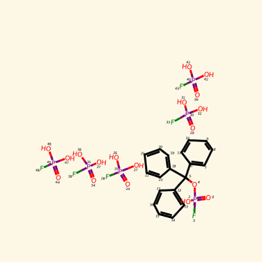 O=P(O)(F)OC(c1ccccc1)(c1ccccc1)c1ccccc1.O=P(O)(O)F.O=P(O)(O)F.O=P(O)(O)F.O=P(O)(O)F.O=P(O)(O)F